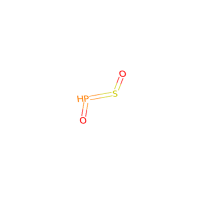 O=[PH]=S=O